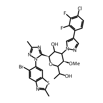 CO[C@H]1C(C(C)O)O[C@@H](c2nc(C)nn2-c2cc3sc(C)nc3cc2Br)C(O)C1n1cc(-c2ccc(Cl)c(F)c2F)cn1